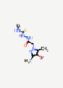 CCNC(=S)NNC(=O)Cn1nc(C)c(Br)c1C